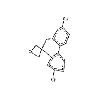 Oc1ccc2c(c1)CC1(COC1)c1cc(O)ccc1-2